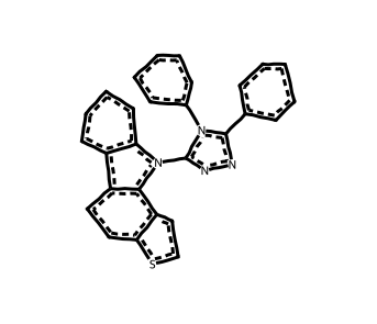 c1ccc(-c2nnc(-n3c4ccccc4c4ccc5sccc5c43)n2-c2ccccc2)cc1